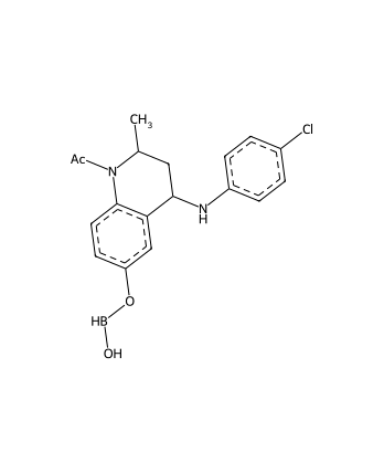 CC(=O)N1c2ccc(OBO)cc2C(Nc2ccc(Cl)cc2)CC1C